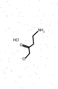 Cl.NCCC(=O)CCl